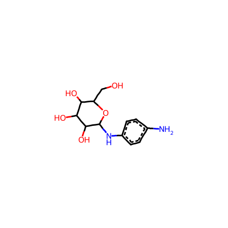 Nc1ccc(NC2OC(CO)C(O)C(O)C2O)cc1